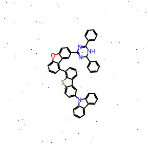 c1ccc(C2=NC(c3ccc4oc5cccc(-c6cccc7c6sc6ccc(-n8c9ccccc9c9ccccc98)cc67)c5c4c3)=NC(c3ccccc3)N2)cc1